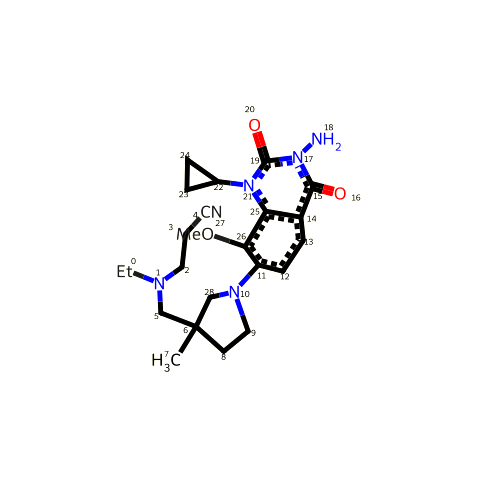 CCN(CCC#N)CC1(C)CCN(c2ccc3c(=O)n(N)c(=O)n(C4CC4)c3c2OC)C1